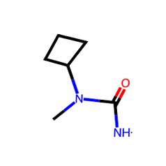 CN(C([NH])=O)C1CCC1